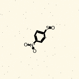 O=[S+]c1[c]cc([N+](=O)[O-])cc1